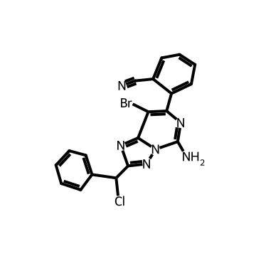 N#Cc1ccccc1-c1nc(N)n2nc(C(Cl)c3ccccc3)nc2c1Br